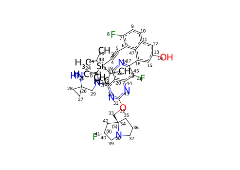 CC(C)[Si](C#Cc1c(F)ccc2cc(O)cc(-c3ncc4c(N5CCNC6(CC6)C5)nc(OC[C@@]56CCCN5C[C@H](F)C6)nc4c3F)c12)(C(C)C)C(C)C